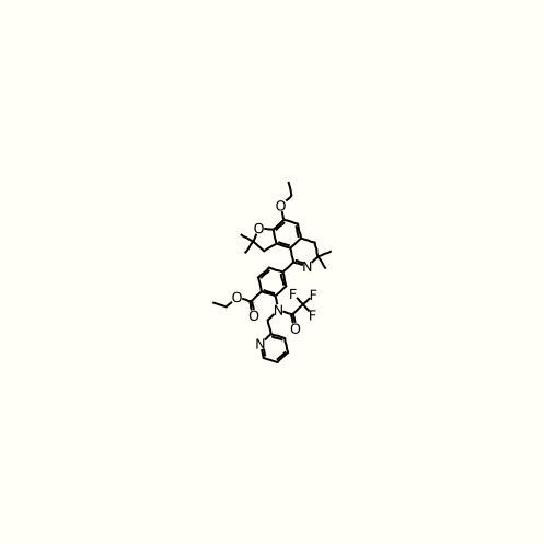 CCOC(=O)c1ccc(C2=NC(C)(C)Cc3cc(OCC)c4c(c32)CC(C)(C)O4)cc1N(Cc1ccccn1)C(=O)C(F)(F)F